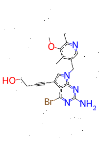 COc1c(C)ncc(Cn2cc(C#CCCO)c3c(Br)nc(N)nc32)c1C